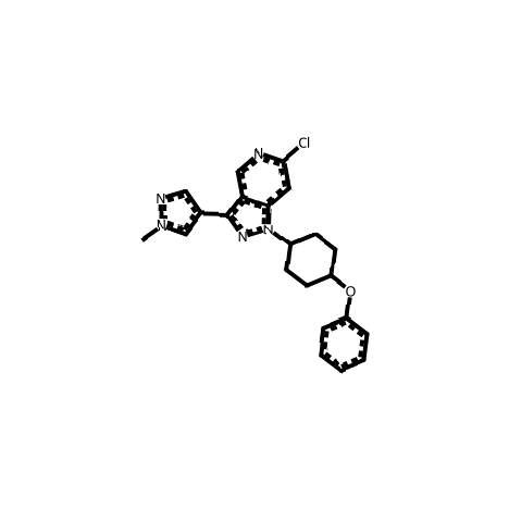 Cn1cc(-c2nn(C3CCC(Oc4ccccc4)CC3)c3cc(Cl)ncc23)cn1